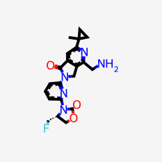 CC1(c2cc3c(c(CN)n2)CN(c2cccc(N4C(=O)OC[C@@H]4CF)n2)C3=O)CC1